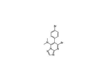 CN(C)c1c(-c2ccc(Br)cc2)c(Br)nc2ncnn12